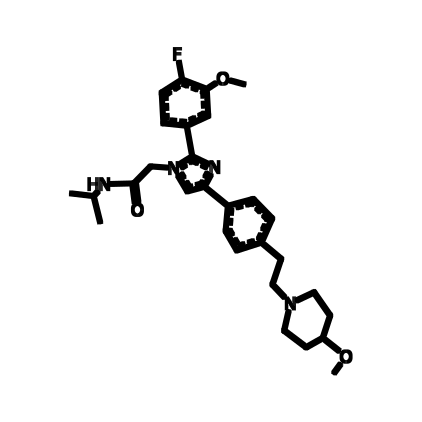 COc1cc(-c2nc(-c3ccc(CCN4CCC(OC)CC4)cc3)cn2CC(=O)NC(C)C)ccc1F